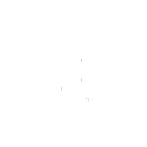 CC(C)(OC(=O)CC(O)c1ccccc1)C1CCNCC1